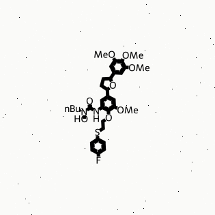 CCCCN(O)C(=O)Nc1cc(C2CCC(c3cc(OC)c(OC)c(OC)c3)O2)cc(OC)c1OCCSc1ccc(F)cc1